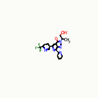 CC(CO)n1cnc2c(-c3ccccn3)nc(-c3ccc(C(F)(F)F)nc3)cc2c1=O